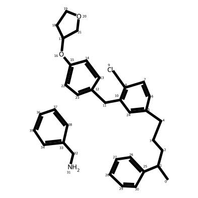 CC(CCCc1ccc(Cl)c(Cc2ccc(OC3CCOC3)cc2)c1)c1ccccc1.NCc1ccccc1